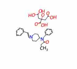 CCC(=O)N(c1ccccc1)C1CCN(C=Cc2ccccc2)CC1.O=C(O)CC(O)(CC(=O)O)C(=O)O